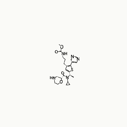 COC(=O)NCCCc1cc([C@@H](C)N(C(=O)[C@H]2CNCCO2)C2CC2)sc1-c1cncnc1